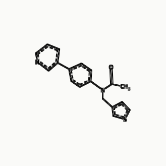 CC(=O)N(Cc1ccsc1)c1ccc(-c2cccnc2)cc1